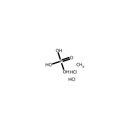 C.Cl.Cl.O=P(O)(O)O